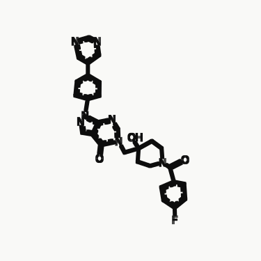 O=C(c1ccc(F)cc1)N1CCC(O)(Cn2cnc3c(cnn3-c3ccc(-c4cncnc4)cc3)c2=O)CC1